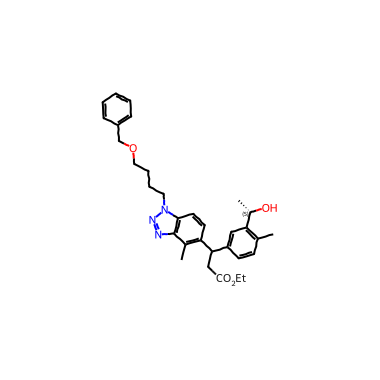 CCOC(=O)CC(c1ccc(C)c([C@H](C)O)c1)c1ccc2c(nnn2CCCCOCc2ccccc2)c1C